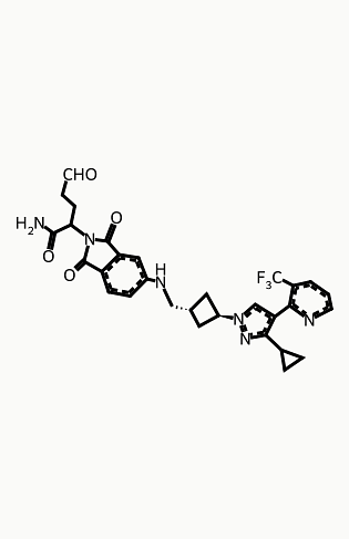 NC(=O)C(CCC=O)N1C(=O)c2ccc(NC[C@H]3C[C@H](n4cc(-c5ncccc5C(F)(F)F)c(C5CC5)n4)C3)cc2C1=O